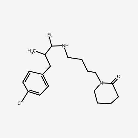 CCC(NCCCCN1CCCCC1=O)C(C)Cc1ccc(Cl)cc1